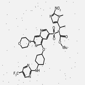 CC(c1cnc([N+](=O)[O-])n1C)N(C(=O)OC(C)(C)C)S(=O)(=O)c1cnc2cc(N3CCOCC3)nc(OC3CCC(Nc4ncc(C(F)(F)F)cn4)CC3)c2c1